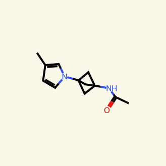 CC(=O)NC12CC(n3ccc(C)c3)(C1)C2